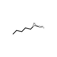 CCCC[CH][GeH2][GeH3]